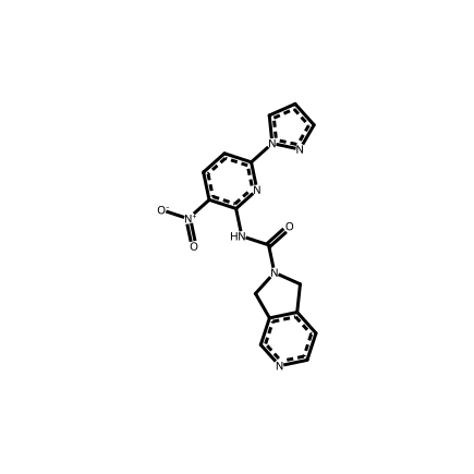 O=C(Nc1nc(-n2cccn2)ccc1[N+](=O)[O-])N1Cc2ccncc2C1